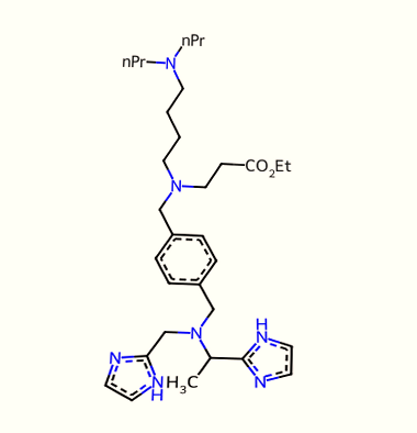 CCCN(CCC)CCCCN(CCC(=O)OCC)Cc1ccc(CN(Cc2ncc[nH]2)C(C)c2ncc[nH]2)cc1